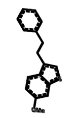 COc1ccc2c(CCc3ccccc3)csc2c1